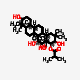 CC(C)C(=O)O[C@H]1[C@H](O)C(C)(C)C[C@@H]2C3=CC[C@@H]4[C@@]5(C)CC[C@H](O)C(C)(C)C5CC[C@@]4(C)[C@]3(C)[C@@H](O)[C@@H](O)[C@]21CO